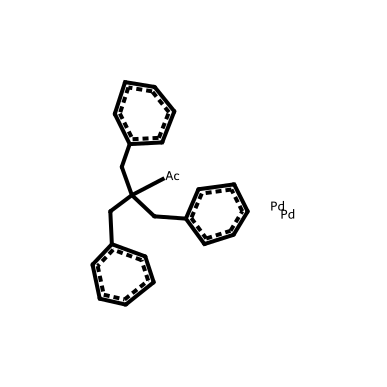 CC(=O)C(Cc1ccccc1)(Cc1ccccc1)Cc1ccccc1.[Pd].[Pd]